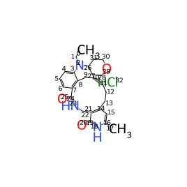 CCN(c1cccc2c1CC=CCCc1cc(C)[nH]c(=O)c1CNC2=O)C1CCOCC1.Cl